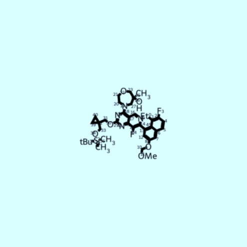 CCc1c(F)ccc2cc(OCOC)cc(-c3ncc4c(N5CCOC[C@@](C)(O)C5)nc(OCC5(CO[Si](C)(C)C(C)(C)C)CC5)nc4c3F)c12